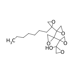 CCCCCCCC1(C2(C3(C4(C5(O)CO5)CO4)CO3)CO2)CO1